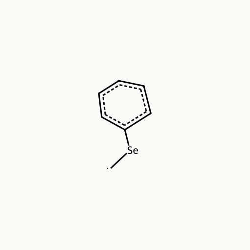 [CH2][Se]c1ccccc1